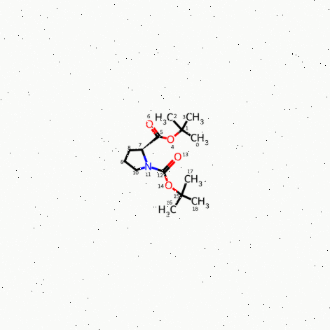 CC(C)(C)OC(=O)[C@@H]1CCCN1C(=O)OC(C)(C)C